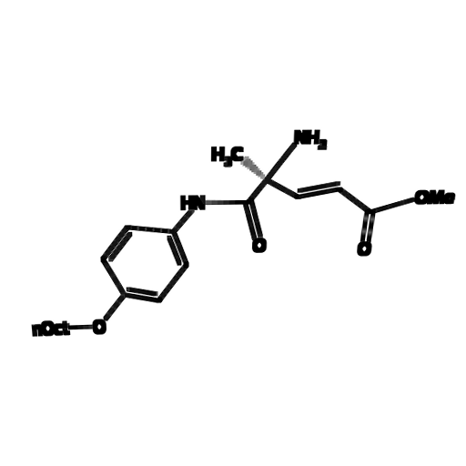 CCCCCCCCOc1ccc(NC(=O)[C@@](C)(N)/C=C/C(=O)OC)cc1